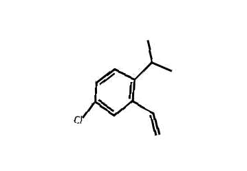 C=Cc1cc(Cl)ccc1C(C)C